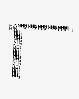 N.N.N.N.N.N.N.N.N.N.N.N.N.N.N.N.N.N.N.N.N.N.N.N.N.N.N.N.N.N.[AlH3]